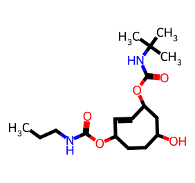 CCCNC(=O)OC1/C=C/C(OC(=O)NC(C)(C)C)CC(O)CC1